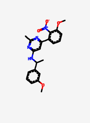 COc1cccc(C(C)Nc2cc(-c3cccc(OC)c3[N+](=O)[O-])nc(C)n2)c1